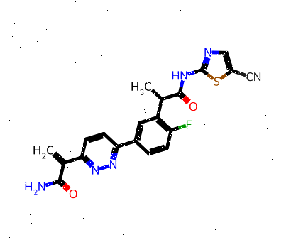 C=C(C(N)=O)c1ccc(-c2ccc(F)c(C(C)C(=O)Nc3ncc(C#N)s3)c2)nn1